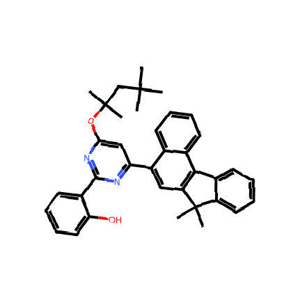 CC(C)(C)CC(C)(C)Oc1cc(-c2cc3c(c4ccccc24)-c2ccccc2C3(C)C)nc(-c2ccccc2O)n1